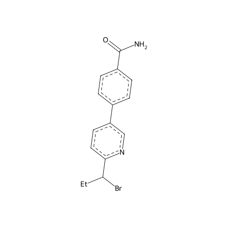 CCC(Br)c1ccc(-c2ccc(C(N)=O)cc2)cn1